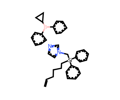 C=CCCCC[Si](Cn1ccnc1)(c1ccccc1)c1ccccc1.c1ccc(B(c2ccccc2)C2CC2)cc1